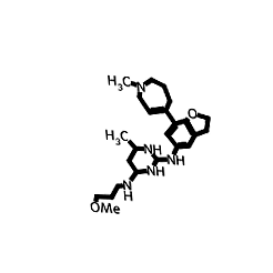 COCCCNC1CC(C)NC(Nc2cc3c(c(C4=CCN(C)CCC4)c2)OCC3)N1